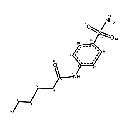 C[CH]CCCC(=O)Nc1ccc(S(N)(=O)=O)cc1